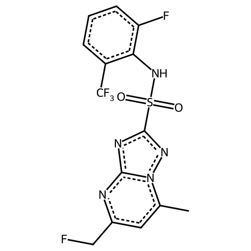 Cc1cc(CF)nc2nc(S(=O)(=O)Nc3c(F)cccc3C(F)(F)F)nn12